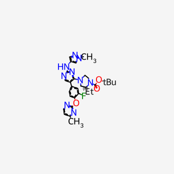 CC[C@@H]1CN(c2nc(Nc3cnn(C)c3)ncc2-c2ccc(Oc3nccc(C)n3)c(F)c2)CCN1C(=O)OC(C)(C)C